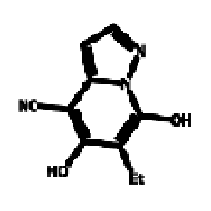 CCc1c(O)c(C#N)c2ccnn2c1O